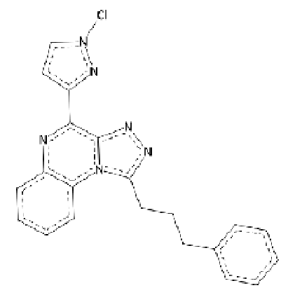 Cln1ccc(-c2nc3ccccc3n3c(CCCc4ccccc4)nnc23)n1